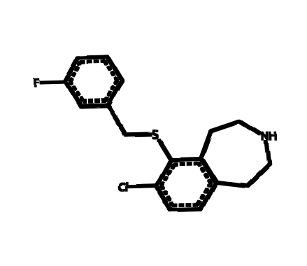 Fc1cccc(CSc2c(Cl)ccc3c2CCNCC3)c1